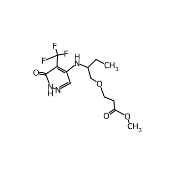 CCC(COCCC(=O)OC)Nc1cn[nH]c(=O)c1C(F)(F)F